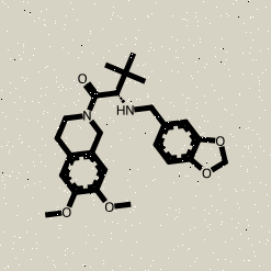 COc1cc2c(cc1OC)CN(C(=O)[C@@H](NCc1ccc3c(c1)OCO3)C(C)(C)C)CC2